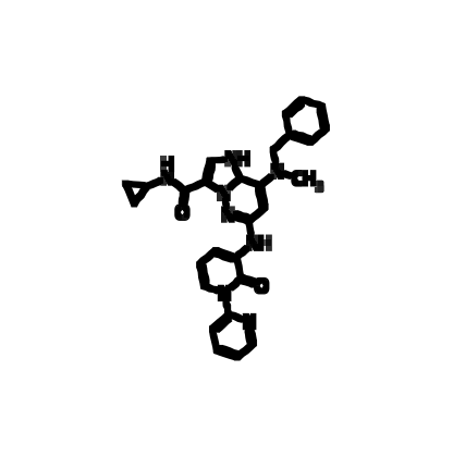 CN(Cc1ccccc1)C1=CC(Nc2cccn(-c3ccccn3)c2=O)=NN2C(C(=O)NC3CC3)=CNC12